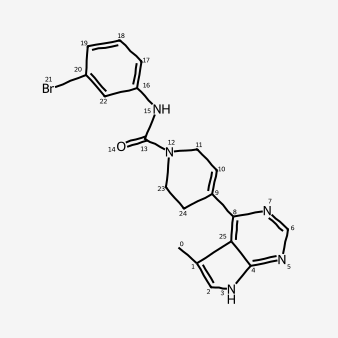 Cc1c[nH]c2ncnc(C3=CCN(C(=O)Nc4cccc(Br)c4)CC3)c12